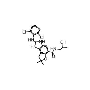 CC(O)CNC(=O)c1cc2c(c3c1OC(C)(C)C3)NC(Nc1c(Cl)cccc1Cl)N2